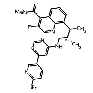 CNC(=O)c1c(F)cnc2c(C(C)[C@H](C)CNc3cc(-c4ccc(C(C)C)nc4)ncn3)cccc12